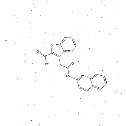 O=C([CH]c1c(C(=O)O)sc2ccccc12)Nc1ccc2ccccc2c1